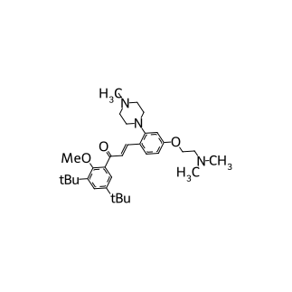 COc1c(C(=O)/C=C/c2ccc(OCCN(C)C)cc2N2CCN(C)CC2)cc(C(C)(C)C)cc1C(C)(C)C